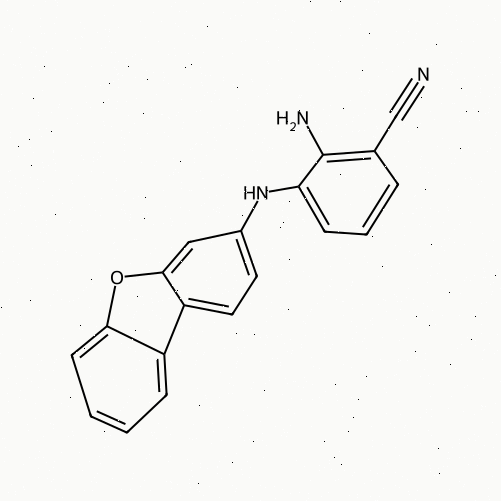 N#Cc1cccc(Nc2ccc3c(c2)oc2ccccc23)c1N